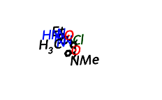 CCNc1ncc2c(n1)N(C)CCN(Cc1ccc(OC(CCNC)c3ccccc3)cc1Cl)C2=O